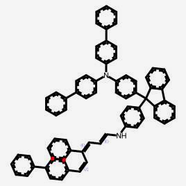 C(=C/c1ccc(-c2ccccc2)cc1)/C(=C\C=C\Nc1ccc(C2(c3ccc(N(c4ccc(-c5ccccc5)cc4)c4ccc(-c5ccccc5)cc4)cc3)c3ccccc3-c3ccccc32)cc1)c1ccccc1